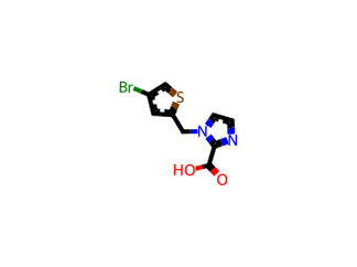 O=C(O)c1nccn1Cc1cc(Br)cs1